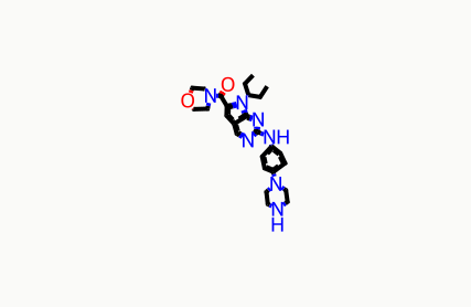 CCC(CC)n1c(C(=O)N2CCOCC2)cc2cnc(Nc3ccc(N4CCNCC4)cc3)nc21